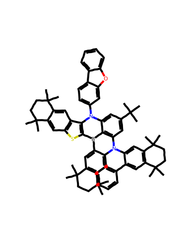 CC(C)(C)c1cc2c3c(c1)N(c1ccc4c(c1)oc1ccccc14)c1c(sc4cc5c(cc14)C(C)(C)CCC5(C)C)B3c1cc3c(cc1N2c1cc2c(cc1-c1ccccc1)C(C)(C)CCC2(C)C)C(C)(C)CCC3(C)C